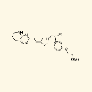 CCC(CN1CCC(CCc2ccc3c(n2)NCCC3)C1)c1cccc(OCCOC)c1